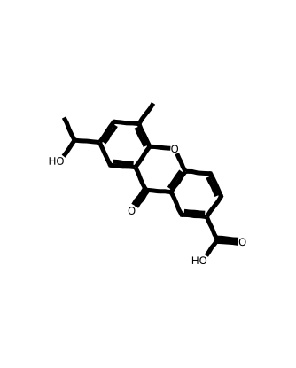 Cc1cc(C(C)O)cc2c(=O)c3cc(C(=O)O)ccc3oc12